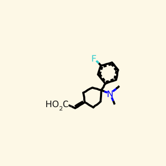 CN(C)C1(c2cccc(F)c2)CCC(=CC(=O)O)CC1